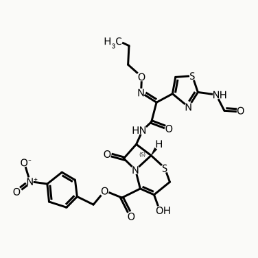 CCCON=C(C(=O)NC1C(=O)N2C(C(=O)OCc3ccc([N+](=O)[O-])cc3)=C(O)CS[C@@H]12)c1csc(NC=O)n1